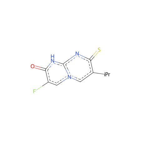 CC(C)c1cn2cc(F)c(=O)[nH]c2nc1=S